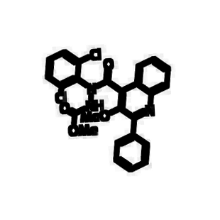 COC(=O)NN(C(=O)c1c(OC)c(-c2ccccc2)nc2ccccc12)c1c(Cl)cccc1Cl